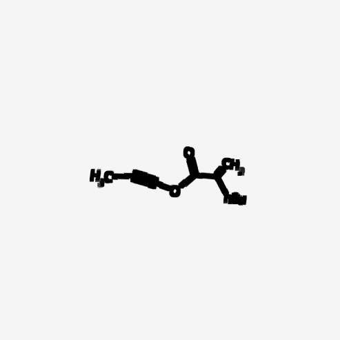 C=C(CCCC)C(=O)OC#CC